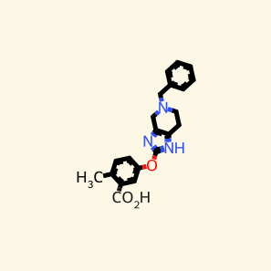 Cc1ccc(Oc2nc3c([nH]2)CCN(Cc2ccccc2)C3)cc1C(=O)O